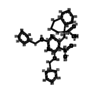 O=C(O)[C@]1(Cc2nc(OCc3ccccc3)nc(OCc3ccccc3)c2[N+](=O)[O-])CCCc2ccccc21